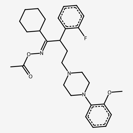 COc1ccccc1N1CCN(CCC(C(=NOC(C)=O)C2CCCCC2)c2ccccc2F)CC1